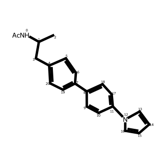 CC(=O)NC(C)Cc1ccc(-c2ccc(-n3cccc3)cc2)cc1